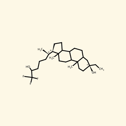 CC[C@]1(O)CCC2(C)C(CCC3C2CCC2(C)C3CC[C@@H]2[C@H](C)CCCC(O)C(F)(F)F)C1